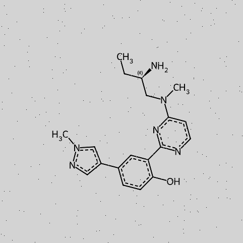 CC[C@@H](N)CN(C)c1ccnc(-c2cc(-c3cnn(C)c3)ccc2O)n1